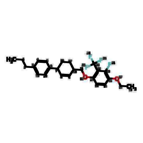 CCCc1ccc(C2C=CC(COc3ccc(OCC)c(F)c3C(F)(F)F)CC2)cc1